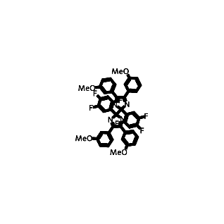 COc1cccc(C2=NC(c3cc(F)c(F)cc3F)(C3(c4cc(F)c(F)cc4F)N=C(c4cccc(OC)c4)C(c4cccc(OC)c4)=N3)N=C2c2cccc(OC)c2)c1